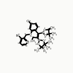 C=C1OB(/C(=C(/CC)B2OC(C)(C)C(C)(C)O2)c2ccc(Cl)cc2OCc2ncccc2Br)OC1(C)C